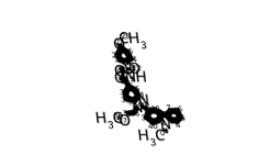 CCn1c2ccccc2c2cc(-c3nc4cc(C(=O)NS(=O)(=O)c5ccc(OC)cc5)ccc4n3CCOC)ccc21